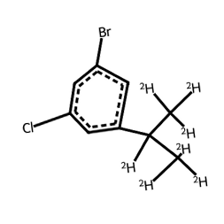 [2H]C([2H])([2H])C([2H])(c1cc(Cl)cc(Br)c1)C([2H])([2H])[2H]